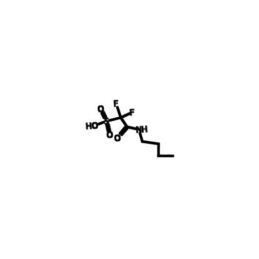 CCCCNC(=O)C(F)(F)S(=O)(=O)O